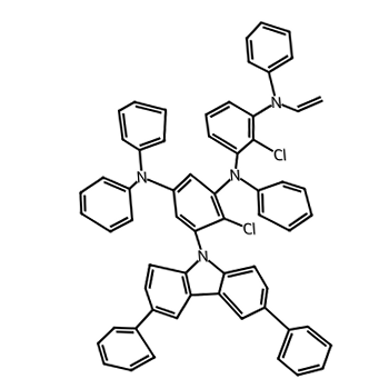 C=CN(c1ccccc1)c1cccc(N(c2ccccc2)c2cc(N(c3ccccc3)c3ccccc3)cc(-n3c4ccc(-c5ccccc5)cc4c4cc(-c5ccccc5)ccc43)c2Cl)c1Cl